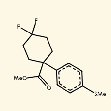 COC(=O)C1(c2ccc(SC)cc2)CCC(F)(F)CC1